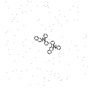 c1ccc(N(c2cccc(-c3cccc4c3c3cc5ccccc5cc3n4-c3ccccc3)c2)c2ccc3ccccc3c2)cc1